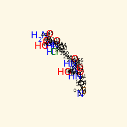 Cc1ncsc1-c1ccc(C(C)NC(=O)[C@@H]2C[C@@H](O)CN2C(=O)C(NC(=O)CCCCCc2cccc(NC(=O)C(CCC(N)=O)NC(=O)O)c2Cl)C(C)(C)C)cc1